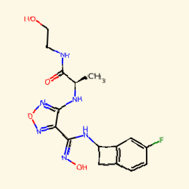 C[C@@H](Nc1nonc1/C(=N/O)NC1Cc2ccc(F)cc21)C(=O)NCCO